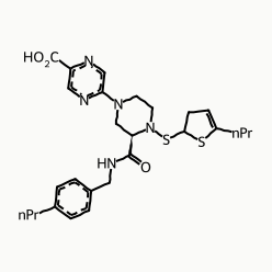 CCCC1=CCC(SN2CCN(c3cnc(C(=O)O)cn3)C[C@@H]2C(=O)NCc2ccc(CCC)cc2)S1